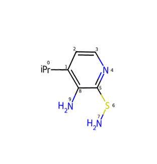 CC(C)c1ccnc(SN)c1N